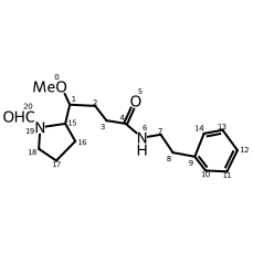 COC(CCC(=O)NCCc1ccccc1)C1CCCN1C=O